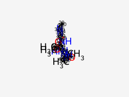 CC[C@@H]1C(=O)N(C)c2cnc(Nc3ccc(C(=O)NC4CCC(N5CCN(CC6CC6)CC5)CC4)c4c3OC(C)(C)C4)nc2N1C1CCCC1